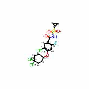 O=C(NS(=O)(=O)C1CC1)c1cc(Cl)c(OC2CCC(Cl)(Cl)CC2)cc1F